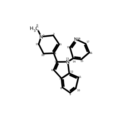 CN1CC=C(c2cc3ccccc3n2-c2cccnc2)CC1